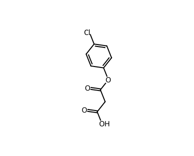 O=C(O)CC(=O)Oc1ccc(Cl)cc1